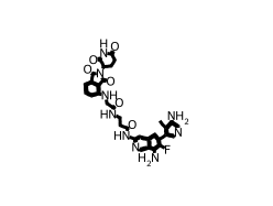 Cc1c(N)cncc1-c1cc2cc(NC(=O)CCNC(=O)CNc3cccc4c3C(=O)N(C3CCC(=O)NC3=O)C4=O)ncc2c(N)c1F